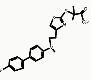 CN(CCc1csc(SC(C)(C)C(=O)O)n1)c1ccc(-c2ccc(F)cc2)cc1